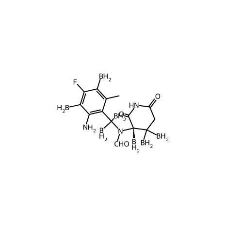 Bc1c(C)c(C(B)(B)N(C=O)[C@]2(B)C(=O)NC(=O)CC2(B)B)c(N)c(B)c1F